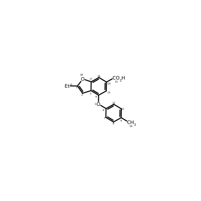 CCc1cc2c(Oc3ccc(C)cc3)cc(C(=O)O)cc2o1